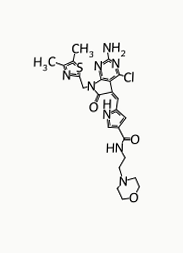 Cc1nc(CN2C(=O)/C(=C\c3cc(C(=O)NCCN4CCOCC4)c[nH]3)c3c(Cl)nc(N)nc32)sc1C